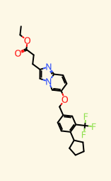 CCOC(=O)CCc1cn2cc(OCc3ccc(C4CCCC4)c(C(F)(F)F)c3)ccc2n1